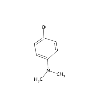 [B]c1ccc(N(C)C)cc1